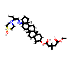 CCOC(=O)CC(C)(C)CC(=O)OC1CCC2(C)C(CCC3(C)C4CCC5(NCC(CC)N6CC[S+]([O-])CC6)CCC[C@@H]5C4CCC23)C1C